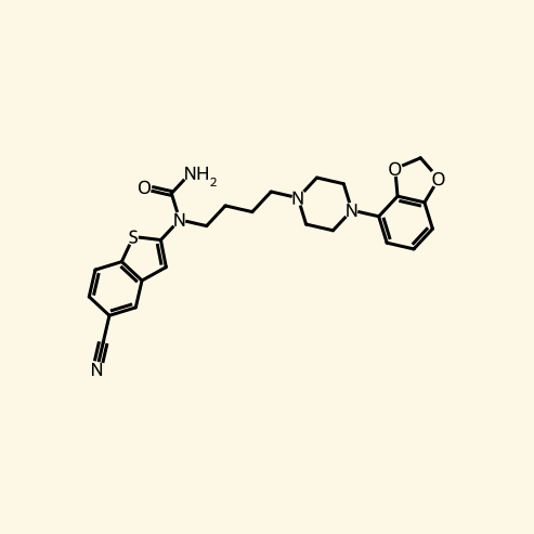 N#Cc1ccc2sc(N(CCCCN3CCN(c4cccc5c4OCO5)CC3)C(N)=O)cc2c1